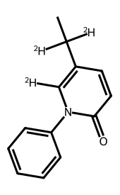 [2H]c1c(C([2H])([2H])C)ccc(=O)n1-c1ccccc1